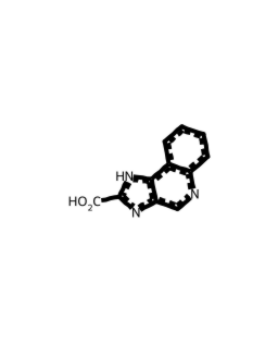 O=C(O)c1nc2cnc3ccccc3c2[nH]1